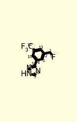 FCc1cc(-c2nc[nH]n2)cc(C(F)(F)F)c1